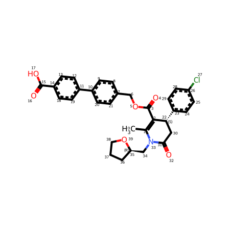 CC1=C(C(=O)OCc2ccc(-c3ccc(C(=O)O)cc3)cc2)[C@H](c2ccc(Cl)cc2)CC(=O)N1C[C@H]1CCCO1